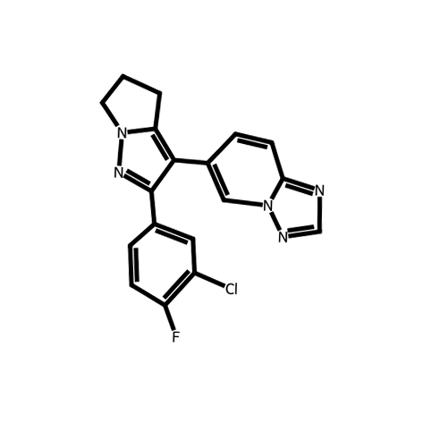 Fc1ccc(-c2nn3c(c2-c2ccc4ncnn4c2)CCC3)cc1Cl